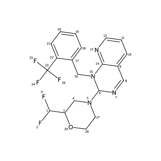 FC(F)C1CN(C2N=Cc3cccnc3N2Cc2ccccc2C(F)(F)F)CCO1